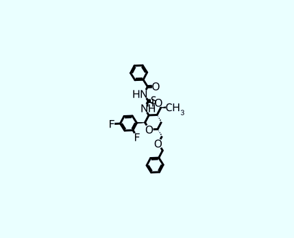 C[C@H](O)[C@@H]1C[C@H](COCc2ccccc2)O[C@@H](c2ccc(F)cc2F)C1NC(=S)NC(=O)c1ccccc1